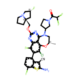 C[C@H]1CN(C2CCN(C(=O)C(F)F)C2)c2nc(OC[C@@]34CCCN3C[C@H](F)C4)nc3c(F)c(-c4ccc(F)c5sc(N)c(C#N)c45)c(Cl)c(c23)O1